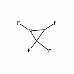 FC1N(F)C1(F)F